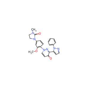 COc1cc(N2CCN(C)C2=O)ccc1-n1ccc(=O)c(-c2ccnn2-c2ccccc2)n1